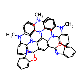 CN1c2ccccc2N(c2c(-c3nc4ccccc4o3)cc(-c3nc4ccccc4o3)c(N3c4ccccc4N(C)c4ccccc43)c2N2c3ccccc3N(C)c3ccccc32)c2ccccc21